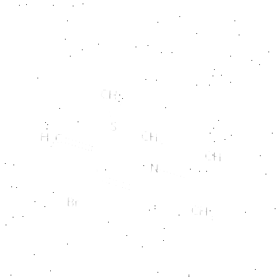 C=C(SC)/C(Br)=C\N(C)C(C)C